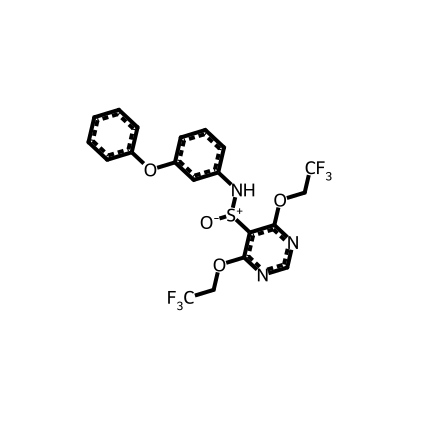 [O-][S+](Nc1cccc(Oc2ccccc2)c1)c1c(OCC(F)(F)F)ncnc1OCC(F)(F)F